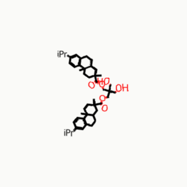 CC(C)c1ccc2c(c1)CCC1CC(C)(C(=O)OCC(CO)(CO)COC(=O)C3(C)CCC4(C)c5ccc(C(C)C)cc5CCC4C3)CCC21C